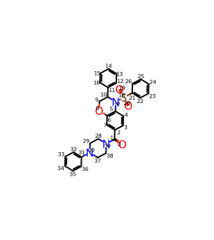 O=C(c1ccc2c(c1)OCC(c1ccccc1)N2S(=O)(=O)c1ccccc1)N1CCN(c2ccccc2)CC1